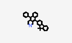 CC1(C)c2ccccc2-c2ccc(-c3c4ccccc4c(-c4ccccc4)c4ccncc34)cc21